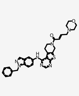 O=C(/C=C/CN1CCOCC1)N1CCc2c(sc3ncnc(Nc4ccc5c(cnn5Cc5ccccc5)c4)c23)C1